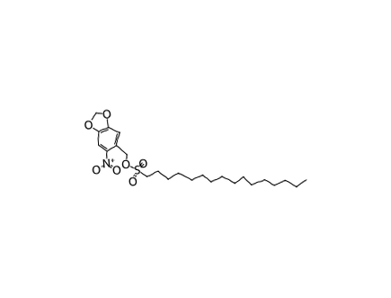 CCCCCCCCCCCCCCCCS(=O)(=O)OCc1cc2c(cc1[N+](=O)[O-])OCO2